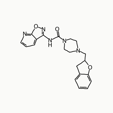 O=C(Nc1noc2ncccc12)N1CCN(CC2Cc3ccccc3O2)CC1